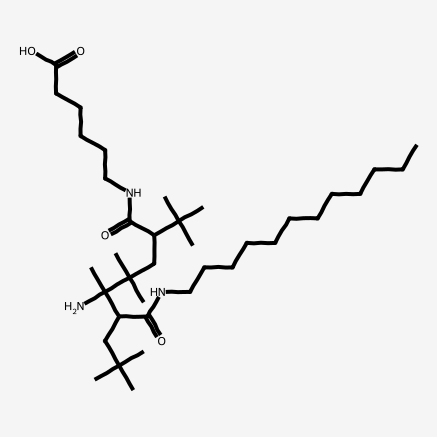 CCCCCCCCCCCCNC(=O)C(CC(C)(C)C)C(C)(N)C(C)(C)CC(C(=O)NCCCCCC(=O)O)C(C)(C)C